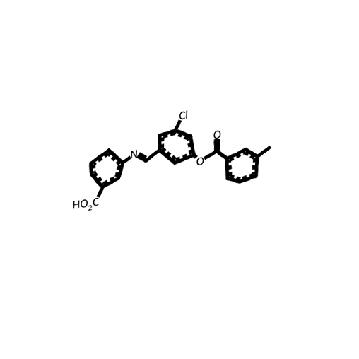 Cc1cccc(C(=O)Oc2cc(Cl)cc(C=Nc3cccc(C(=O)O)c3)c2)c1